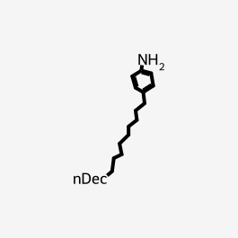 CCCCCCCCCCCCCCCCCCCc1ccc(N)cc1